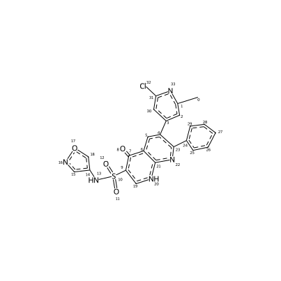 Cc1cc(-c2cc3c(=O)c(S(=O)(=O)Nc4cnoc4)c[nH]c3nc2-c2ccccc2)cc(Cl)n1